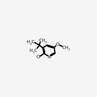 COc1cnc(Cl)c(C(C)(C)C)c1